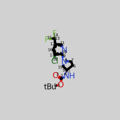 CC(C)(C)OC(=O)N[C@@H]1CCN(c2ncc(C(F)F)cc2Cl)C1